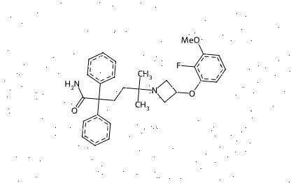 COc1cccc(OC2CN(C(C)(C)CCC(C(N)=O)(c3ccccc3)c3ccccc3)C2)c1F